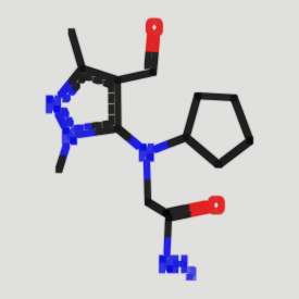 Cc1nn(C)c(N(CC(N)=O)C2CCCC2)c1C=O